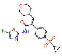 O=C(Nc1ncc(F)s1)C(=CC1CCOCC1)c1ccc(S(=O)(=O)C2CC2)cc1